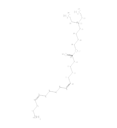 BCC/C=C\CCCC/C=C\CCCCC(=O)OCCCCN(CC)CC